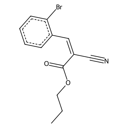 CCCOC(=O)C(C#N)=Cc1ccccc1Br